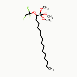 CCCCCCCCCCCCCCC(OC(F)(F)CF)[Si](OC)(OC)OC